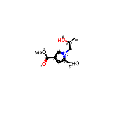 COC(=O)c1cc(C=O)n(C[C@H](C)O)c1